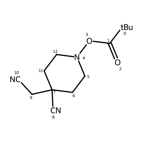 CC(C)(C)C(=O)ON1CCC(C#N)(CC#N)CC1